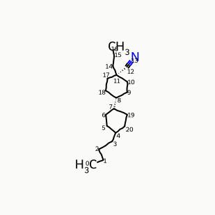 CCCCC1CCC([C@H]2CC[C@](C#N)(CCC)CC2)CC1